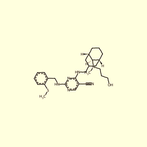 CSc1ccccc1CNc1ncc(C#N)c(NCC2C[C@H]3CCC[C@@H](C2)[C@@H]3N(C)CCCO)n1